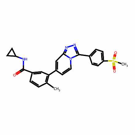 Cc1ccc(C(=O)NC2CC2)cc1-c1ccn2c(-c3ccc(S(C)(=O)=O)cc3)nnc2c1